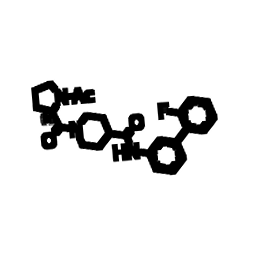 CC(=O)N1CCC[C@@H]1C(=O)N1CCC(C(=O)Nc2cccc(-c3ccccc3F)c2)CC1